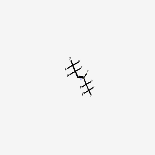 F/C(=C\C(F)(F)C(F)(F)F)C(F)(F)C(F)(F)F